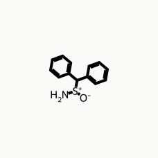 N[S+]([O-])C(c1ccccc1)c1ccccc1